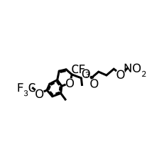 Cc1cc(OC(F)(F)F)cc2c1OC(C(C)OC(=O)CCCO[N+](=O)[O-])(C(F)(F)F)C=C2